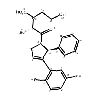 CC(C)(C)[C@@H](C(=O)N1CC=C(c2cc(F)ccc2F)[C@@H]1c1ccccc1)N(CCO)C(=O)O